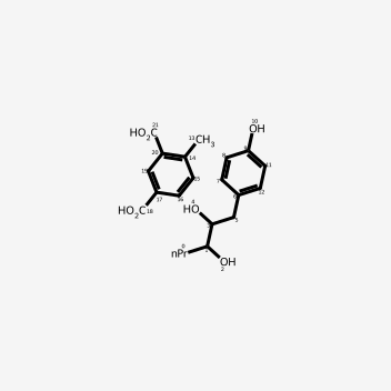 CCCC(O)C(O)Cc1ccc(O)cc1.Cc1ccc(C(=O)O)cc1C(=O)O